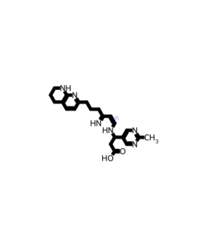 Cc1ncc(C(CC(=O)O)N/C=C\C(=N)CCCc2ccc3c(n2)NCCC3)cn1